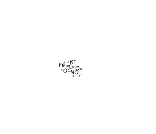 O=[C]=[Fe].O=[N+]([O-])[O-].[K+]